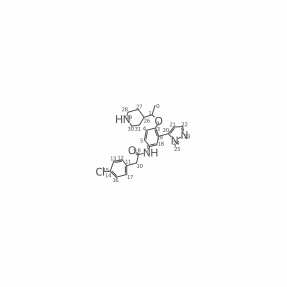 CC(Oc1ccc(NC(=O)Cc2ccc(Cl)cc2)cc1-c1ccnn1C)C1CCNCC1